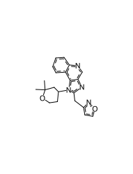 CC1(C)CC(n2c(Cc3ccon3)nc3cnc4ccccc4c32)CCO1